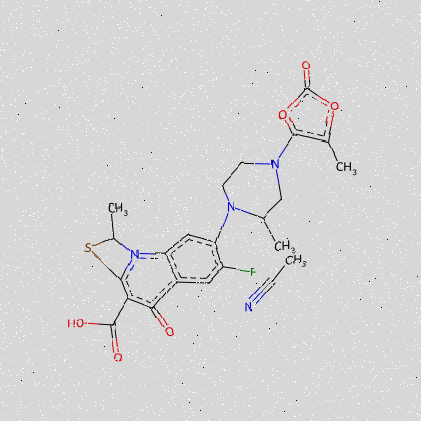 CC#N.Cc1oc(=O)oc1N1CCN(c2cc3c(cc2F)c(=O)c(C(=O)O)c2n3C(C)S2)C(C)C1